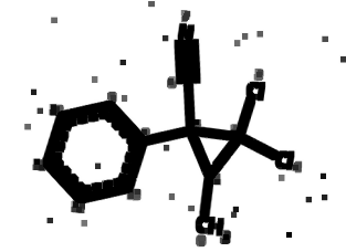 CC1C(Cl)(Cl)C1(C#N)c1ccccc1